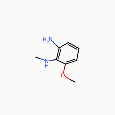 CNc1c(N)cccc1OC